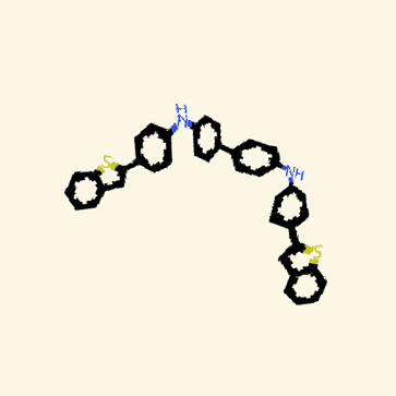 c1ccc2sc(-c3ccc(Nc4ccc(-c5ccc(Nc6ccc(-c7cc8ccccc8s7)cc6)cc5)cc4)cc3)cc2c1